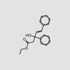 CCOC(=O)CC(O)(C=Cc1ccccc1)c1ccccc1